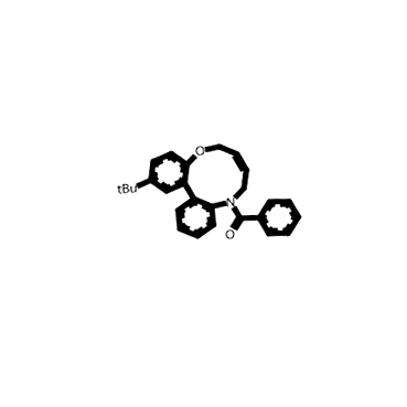 CC(C)(C)c1ccc2c(c1)-c1ccccc1N(C(=O)c1ccccc1)C/C=C\CO2